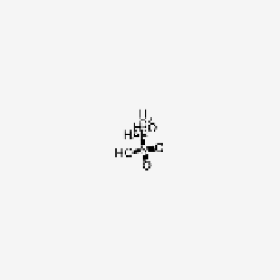 O.O.O=[S](=O)(O)[AlH]